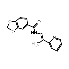 C/C(=N\NC(=O)c1ccc2c(c1)OCO2)c1ccccn1